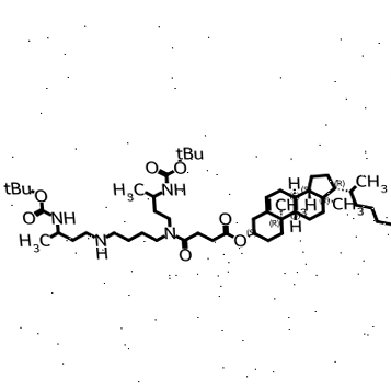 CC(C)CCCC(C)[C@H]1CC[C@H]2[C@@H]3CC=C4C[C@@H](OC(=O)CCC(=O)N(CCCCNCCC(C)NC(=O)OC(C)(C)C)CCC(C)NC(=O)OC(C)(C)C)CC[C@]4(C)[C@H]3CC[C@]12C